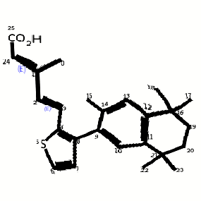 CC(/C=C/c1sccc1-c1cc2c(cc1C)C(C)(C)CCC2(C)C)=C\C(=O)O